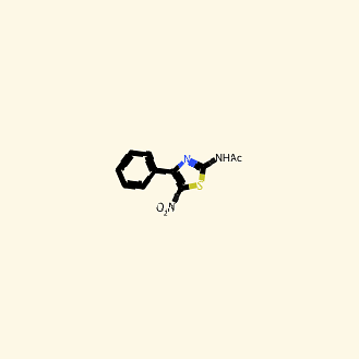 CC(=O)Nc1nc(-c2ccccc2)c([N+](=O)[O-])s1